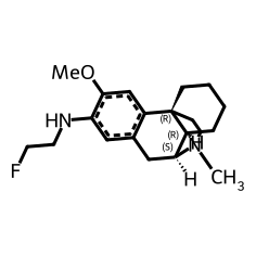 COc1cc2c(cc1NCCF)C[C@H]1[C@@H]3CCCC[C@]23CCN1C